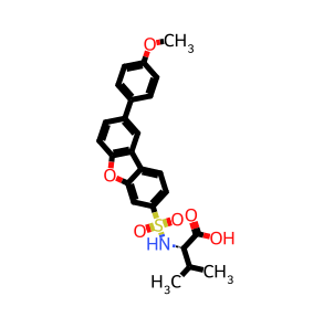 COc1ccc(-c2ccc3oc4cc(S(=O)(=O)N[C@H](C(=O)O)C(C)C)ccc4c3c2)cc1